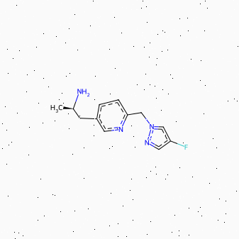 C[C@@H](N)Cc1ccc(Cn2cc(F)cn2)nc1